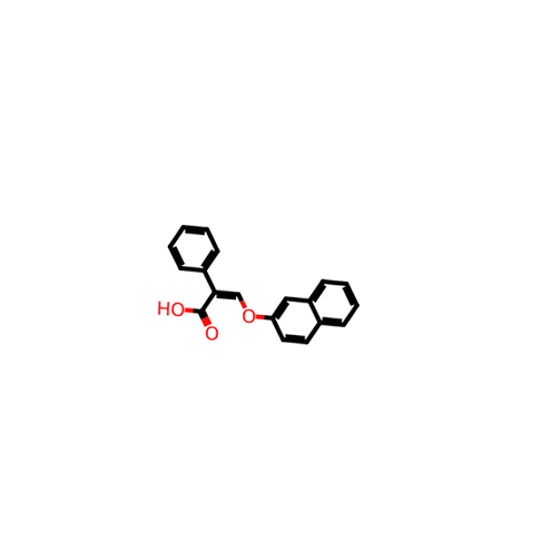 O=C(O)C(=COc1ccc2ccccc2c1)c1ccccc1